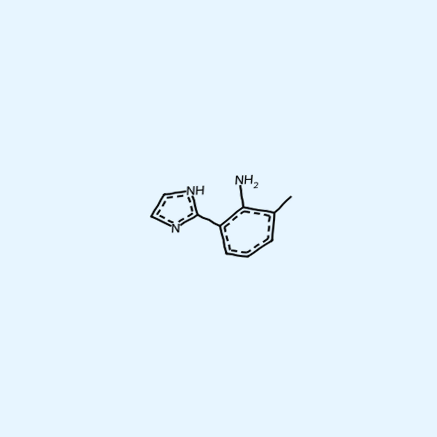 Cc1cccc(-c2ncc[nH]2)c1N